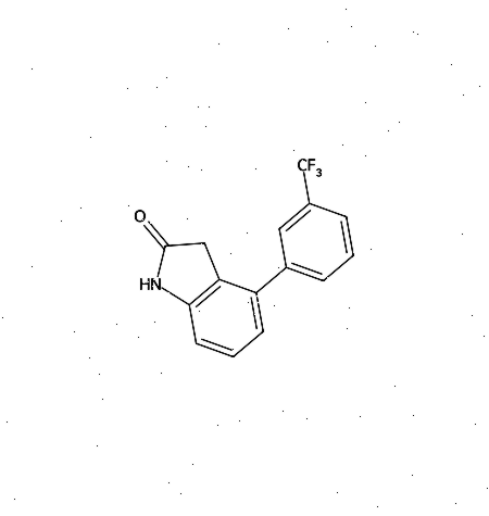 O=C1Cc2c(cccc2-c2cccc(C(F)(F)F)c2)N1